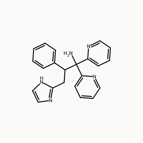 NC(c1ccccn1)(c1ccccn1)C(Cc1ncc[nH]1)c1ccccc1